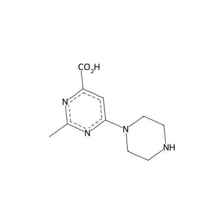 Cc1nc(C(=O)O)cc(N2CCNCC2)n1